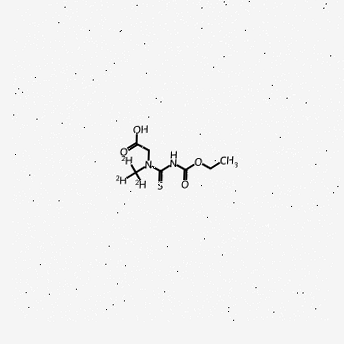 [2H]C([2H])([2H])N(CC(=O)O)C(=S)NC(=O)OCC